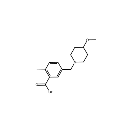 COC1CCN(Cc2ccc(C)c(C(=O)O)c2)CC1